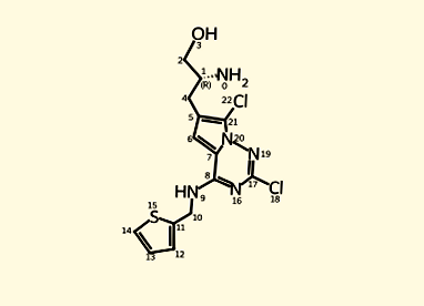 N[C@@H](CO)Cc1cc2c(NCc3cccs3)nc(Cl)nn2c1Cl